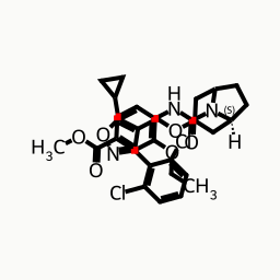 CCOc1cc(C(=O)OC)ccc1NC(=O)N1C2CC[C@H]1CC(OCc1c(-c3c(Cl)cccc3Cl)noc1C1CC1)C2